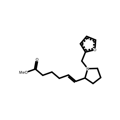 COC(=O)CCCC=CC1CCCN1Cc1ccco1